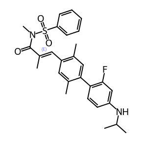 C/C(=C\c1cc(C)c(-c2ccc(NC(C)C)cc2F)cc1C)C(=O)N(C)S(=O)(=O)c1ccccc1